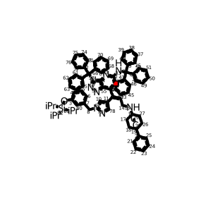 CC(C)[Si](Oc1cccc(Cn2cc(C(=CCNC34CCC(c5ccccc5)(CC3)CC4)c3cc(NC(c4ccccc4)(c4ccccc4)c4ccccc4)nc4c3nnn4C(c3ccccc3)(c3ccccc3)c3ccccc3)cn2)c1)(C(C)C)C(C)C